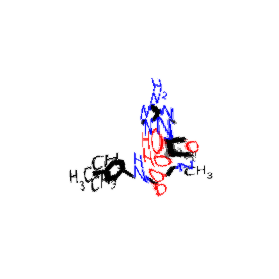 CN(CCOC(=O)NCc1ccc(C(C)(C)C)cc1)C[C@H]1OCC(O)(n2cnc3c(N)ncnc32)[C@@H]1O